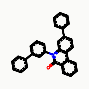 O=c1c2ccccc2c2ccc(-c3ccccc3)cc2n1-c1cccc(-c2ccccc2)c1